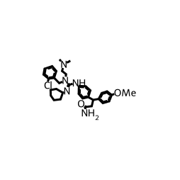 COc1ccc(C(CC(N)=O)c2ccc(N/C(=N/C3CCCCC3)N(CCN(C)C)Cc3ccccc3Cl)cc2)cc1